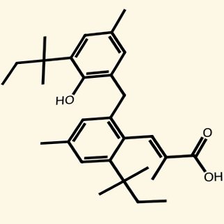 CCC(C)(C)c1cc(C)cc(Cc2cc(C)cc(C(C)(C)CC)c2C=C(C)C(=O)O)c1O